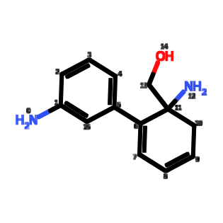 Nc1cccc(C2=CC=CCC2(N)CO)c1